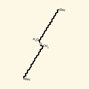 CCCCCCCCCCCCCCCCCCCCCCCCCCCCCCC(C)COCC(C)CCCCCCCCCCCCCCCCCCCCCCCCCCCCCC